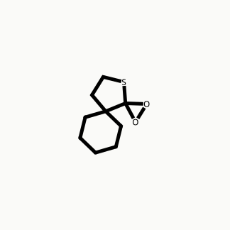 C1CCC2(CC1)CCSC21OO1